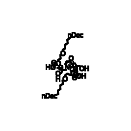 CCCCCCCCCCCCCCCCOCCCOP(=O)(O)CO[C@H](CO)Cn1ccc(=O)n(C[C@@H](CO)OCP(=O)(O)OCCCOCCCCCCCCCCCCCCCC)c1=O